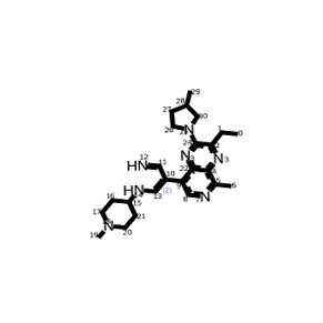 CCc1nc2c(C)ncc(/C(C=N)=C/NC3CCN(C)CC3)c2nc1N1CCC(C)C1